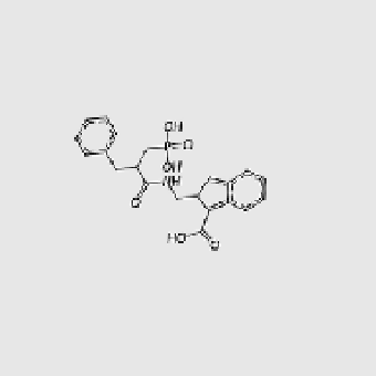 O=C(O)C1=c2ccccc2=CC1CNC(=O)C(Cc1ccccc1)CP(=O)(O)O